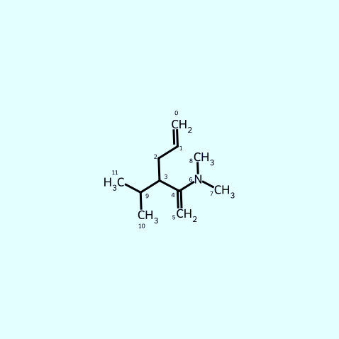 C=CCC(C(=C)N(C)C)C(C)C